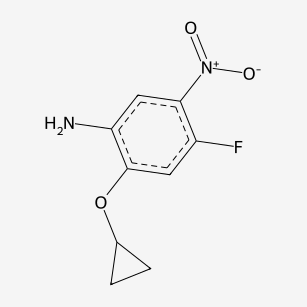 Nc1cc([N+](=O)[O-])c(F)cc1OC1CC1